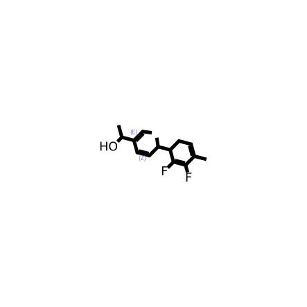 C/C=C(\C=C/C(C)C1CC=C(C)C(F)=C1F)C(C)O